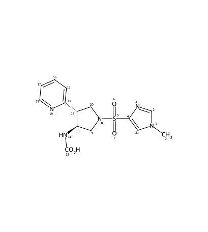 Cn1cnc(S(=O)(=O)N2C[C@@H](NC(=O)O)[C@H](c3ccccn3)C2)c1